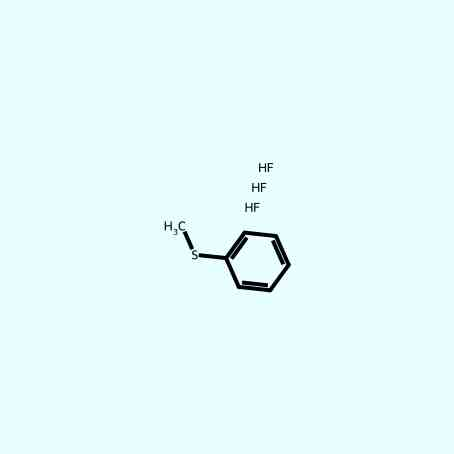 CSc1ccccc1.F.F.F